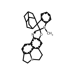 CN1c2ccccc2C2(C3CC4CC(C3)CC2C4)C12C=Nc1c(cc3c4c5c(ccc14)CCN5CC3)O2